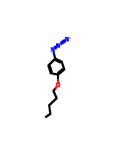 CCCCCOc1ccc(N=[N+]=[N-])cc1